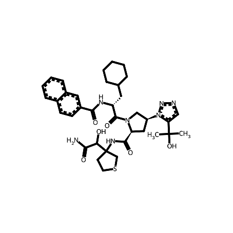 CC(C)(O)c1cnnn1[C@H]1C[C@@H](C(=O)NC2(C(O)C(N)=O)CCSC2)N(C(=O)[C@@H](CC2CCCCC2)NC(=O)c2ccc3ccccc3c2)C1